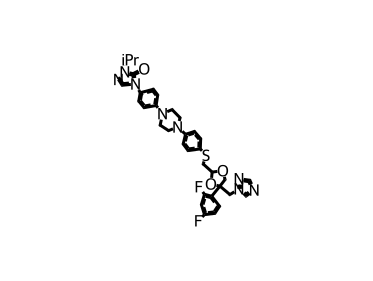 CC(C)n1ncn(-c2ccc(N3CCN(c4ccc(SCC5OCC(Cn6cncn6)(c6ccc(F)cc6F)O5)cc4)CC3)cc2)c1=O